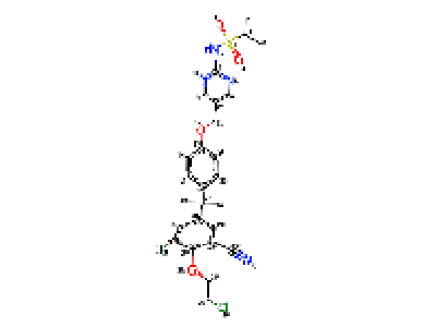 CC(C)S(=O)(=O)Nc1ncc(COc2ccc(C(C)(C)c3cc(Cl)c(OCCCl)c(C#N)c3)cc2)cn1